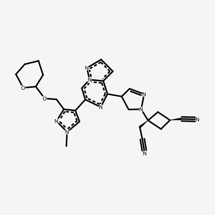 Cn1cc(-c2cn3nccc3c(C3C=NN([C@]4(CC#N)C[C@@H](C#N)C4)C3)n2)c(COC2CCCCO2)n1